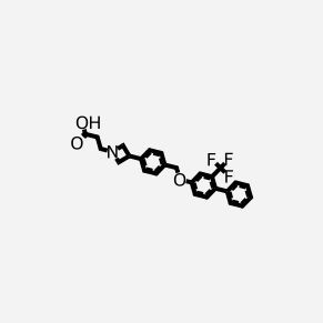 O=C(O)CCN1CC(c2ccc(COc3ccc(-c4ccccc4)c(C(F)(F)F)c3)cc2)C1